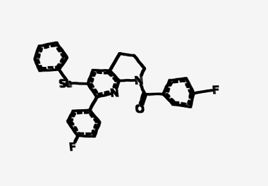 O=C(c1ccc(F)cc1)N1CCCc2cc([Se]c3ccccc3)c(-c3ccc(F)cc3)nc21